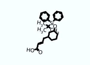 CC(C)(C)[Si](OC1CCCC(CC=CC(=O)O)C1)(c1ccccc1)c1ccccc1